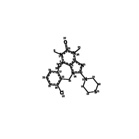 Cn1c(=O)c2c(nc(N3CCSCC3)n2Cc2c(F)cccc2Cl)n(C)c1=O